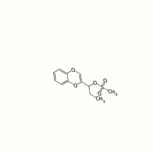 CCC(OS(C)(=O)=O)C1=COc2ccccc2O1